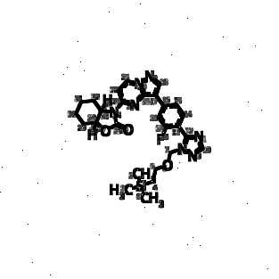 C[Si](C)(C)CCOCn1ncnc1-c1ccc(-c2cnn3ccc(N4C(=O)O[C@@H]5CCCC[C@@H]54)nc23)cc1F